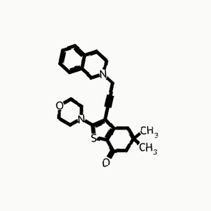 CC1(C)CC(=O)c2sc(N3CCOCC3)c(C#CCN3CCc4ccccc4C3)c2C1